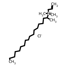 C=CC[N+](C)(C)C(C)CCCCCCCCCCCCCCCC.[Cl-]